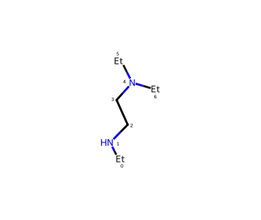 [CH2]CNCCN(CC)CC